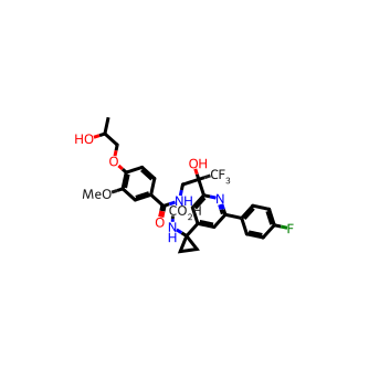 COc1cc(C(=O)NCC(O)(c2cc(C3(NC(=O)O)CC3)cc(-c3ccc(F)cc3)n2)C(F)(F)F)ccc1OCC(C)O